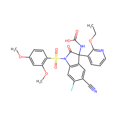 CCOc1ncccc1C1(NC(=O)O)C(=O)N(S(=O)(=O)c2ccc(OC)cc2OC)c2cc(F)c(C#N)cc21